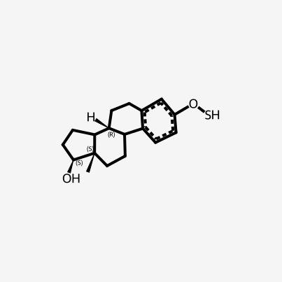 C[C@]12CCC3c4ccc(OS)cc4CC[C@H]3C1CC[C@@H]2O